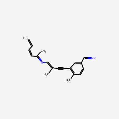 C=C\C=C/C(C)=N/C=C(\C)C#Cc1cc(C=N)ccc1C